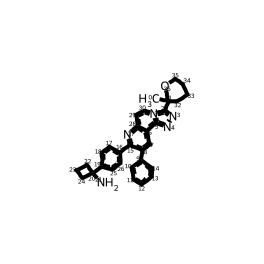 CC1(c2nnc3c4cc(-c5ccccc5)c(-c5ccc(C6(N)CCC6)cc5)nc4ccn23)CCCCO1